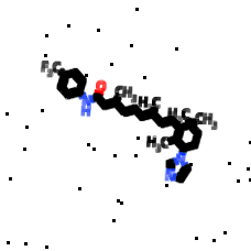 CC1=C(/C=C/C(C)=C/C=C/C(C)=C/C(=O)Nc2ccc(C(F)(F)F)cc2)C(C)(C)CCC1n1ccnc1